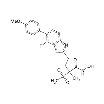 COc1ccc(-c2ccc3nn(CCC(C)(C(=O)NO)S(C)(=O)=O)cc3c2F)cc1